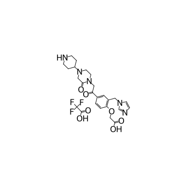 O=C(O)C(F)(F)F.O=C(O)COc1ccc(C(=O)CN2CCN(C3CCNCC3)CC2=O)cc1Cn1ccnc1